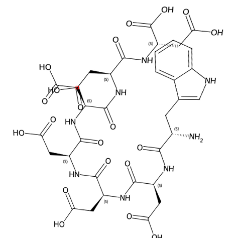 N[C@@H](Cc1c[nH]c2ccccc12)C(=O)N[C@@H](CC(=O)O)C(=O)N[C@@H](CC(=O)O)C(=O)N[C@@H](CC(=O)O)C(=O)N[C@@H](CC(=O)O)C(=O)N[C@@H](CC(=O)O)C(=O)N[C@@H](CC(=O)O)C(=O)O